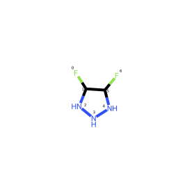 FC1NNNC1F